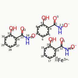 O=C(N[O-])c1ccccc1O.O=C(N[O-])c1ccccc1O.O=C(N[O-])c1ccccc1O.[Fe+3]